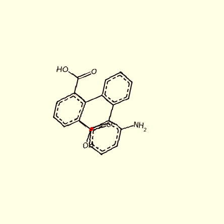 Nc1ccccc1-c1ccccc1-c1c(C(=O)O)cccc1C(=O)O